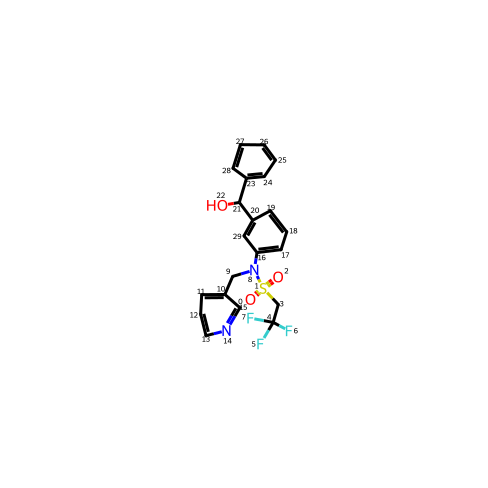 O=S(=O)(CC(F)(F)F)N(Cc1cccnc1)c1cccc(C(O)c2ccccc2)c1